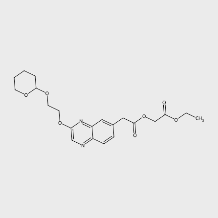 CCOC(=O)COC(=O)Cc1ccc2ncc(OCCOC3CCCCO3)nc2c1